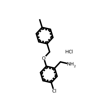 Cc1ccc(COc2ccc(Cl)cc2CN)cc1.Cl